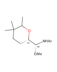 CO[C@@H](NC(C)=O)[C@@H]1CCC(C)(C)C(C)O1